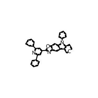 c1ccc(-c2cc(-c3nc4cc5c6ccccc6n(-c6ccccc6)c5cc4o3)cc(-c3ccccc3)n2)cc1